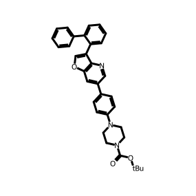 CC(C)(C)OC(=O)N1CCN(c2ccc(-c3cnc4c(-c5ccccc5-c5ccccc5)coc4c3)cc2)CC1